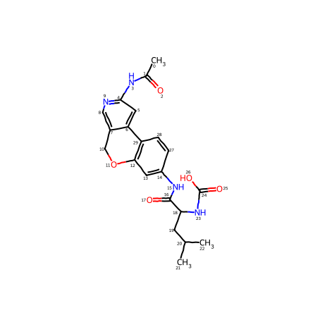 CC(=O)Nc1cc2c(cn1)COc1cc(NC(=O)C(CC(C)C)NC(=O)O)ccc1-2